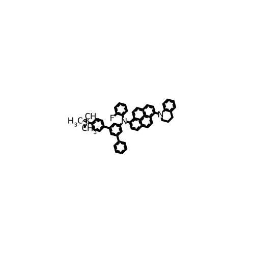 C[Si](C)(C)c1ccc(-c2cc(-c3ccccc3)cc(N(c3ccccc3F)c3ccc4ccc5c(N6CCCc7ccccc76)ccc6ccc3c4c65)c2)cc1